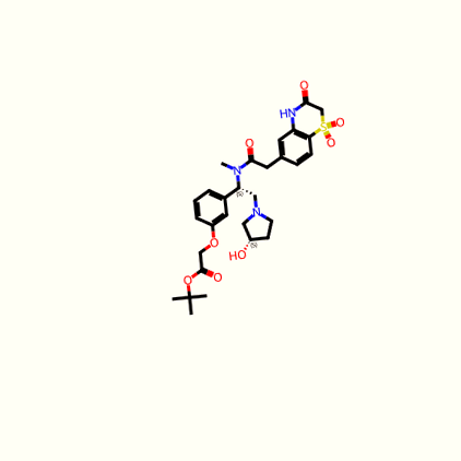 CN(C(=O)Cc1ccc2c(c1)NC(=O)CS2(=O)=O)[C@H](CN1CC[C@H](O)C1)c1cccc(OCC(=O)OC(C)(C)C)c1